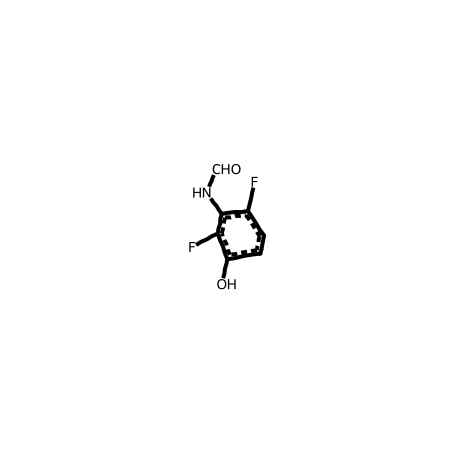 O=CNc1c(F)ccc(O)c1F